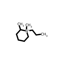 CCC[N+]1(C)CCCCC1C